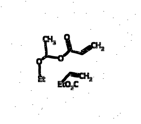 C=CC(=O)OC(C)OCC.C=CC(=O)OCC